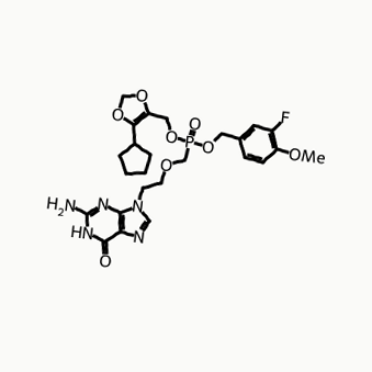 COc1ccc(COP(=O)(COCCn2cnc3c(=O)[nH]c(N)nc32)OCC2=C(C3CCCC3)OCO2)cc1F